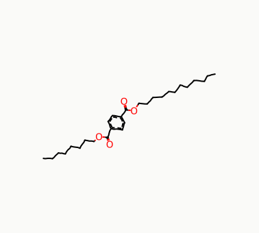 CCCCCCCCCCCCOC(=O)c1ccc(C(=O)OCCCCCCCC)cc1